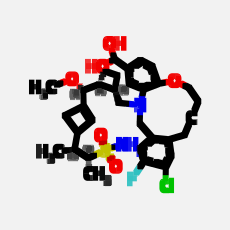 CO[C@@H](C1=CC([C@H](C)[C@@H](C)S(N)(=O)=O)C1)[C@@H]1CC[C@H]1CN1Cc2cc(F)c(Cl)cc2CCCCOc2ccc(C(O)O)cc21